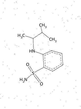 CC(C)C(C)Nc1ccccc1S(N)(=O)=O